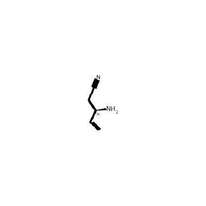 C=C[C@H](N)CC#N